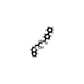 O=C(NCCC(O)CN1CCc2ccccc2C1)c1ccc(-c2ccccc2)cc1